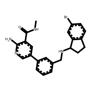 CNC(=O)c1cc(-c2cccc(CNC3CCc4ccc(Br)cc43)c2)cnc1N